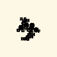 CC(C)n1c(/C=C/[C@@H](O)C[C@@H](O)CC(=O)O)c(-c2ccc(F)cc2)c2ccccc21.CN[C@H]1CC[C@@H](c2ccc(Cl)c(Cl)c2)c2ccccc21